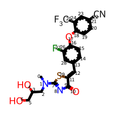 CN(CC(O)CO)C1=NC(=O)C(=Cc2ccc(Oc3ccc(C#N)cc3C(F)(F)F)c(F)c2)S1